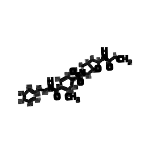 C=CC(=O)NC1CC2CN(S(=O)(=O)c3ccc(C(=O)NCCc4ccccc4)c(C)c3)CC2O1